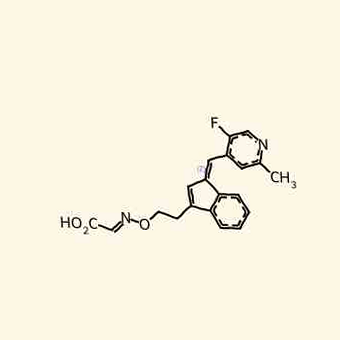 Cc1cc(/C=C2/C=C(CCON=CC(=O)O)c3ccccc32)c(F)cn1